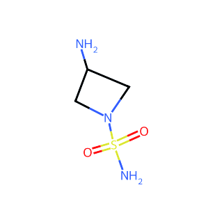 NC1CN(S(N)(=O)=O)C1